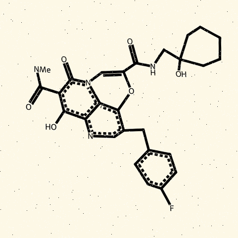 CNC(=O)c1c(O)c2ncc(Cc3ccc(F)cc3)c3c2n(c1=O)C=C(C(=O)NCC1(O)CCCCC1)O3